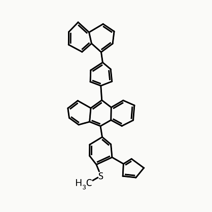 CSc1ccc(-c2c3ccccc3c(-c3ccc(-c4cccc5ccccc45)cc3)c3ccccc23)cc1C1=CCC=C1